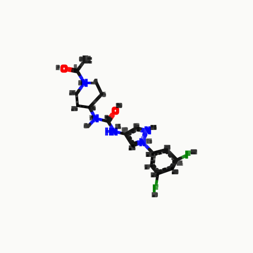 CCC(=O)N1CCC(N(C)C(=O)Nc2cnn(-c3cc(F)cc(F)c3)c2)CC1